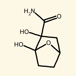 NC(=O)C1(O)CC2CCC1(O)O2